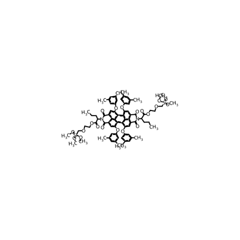 CCCC(C(=O)OCCOC[Si](OC)(OC)OC)N1C(=O)c2cc(Oc3cc(C)cc(C)c3)c3c4c(Oc5cc(C)cc(C)c5)cc5c6c(cc(Oc7cc(C)cc(C)c7)c(c7c(Oc8cc(C)cc(C)c8)cc(c2c37)C1=O)c64)C(=O)N(C(CCC)C(=O)OCCOC[Si](OC)(OC)OC)C5=O